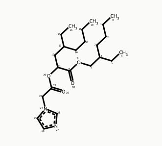 CCCCC(CC)COC(=O)C(CC(CC)CCCC)OC(=O)Cn1ccnc1